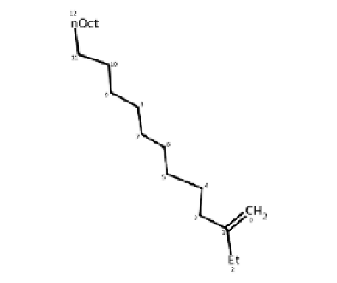 C=C(CC)CCCCCCCCCCCCCCCCC